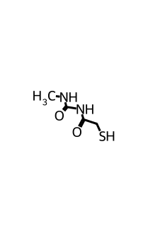 CNC(=O)NC(=O)CS